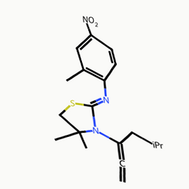 C=C=C(CC(C)C)N1C(=Nc2ccc([N+](=O)[O-])cc2C)SCC1(C)C